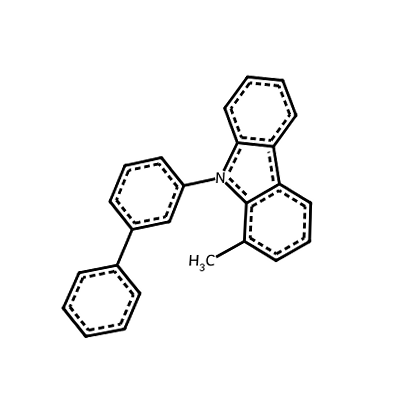 Cc1cccc2c3ccccc3n(-c3cccc(-c4ccccc4)c3)c12